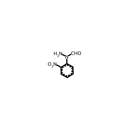 NN(C=O)c1ccccc1[N+](=O)[O-]